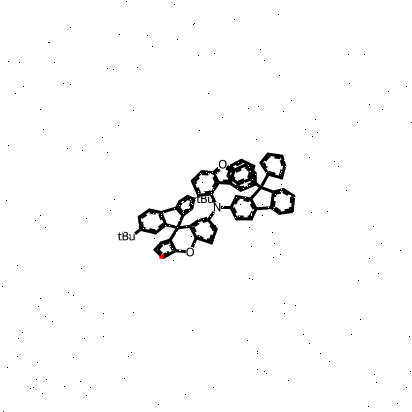 CC(C)(C)c1ccc2c(c1)C1(c3ccccc3Oc3ccc(N(c4ccc5c(c4)C(c4ccccc4)(c4ccccc4)c4ccccc4-5)c4cccc5oc6ccccc6c45)cc31)c1cc(C(C)(C)C)ccc1-2